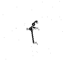 CCCCCCCCCCCCOc1cccc(CN(C(=O)CC)c2ccc(C[n+]3ccsc3)cc2)c1.[Br-]